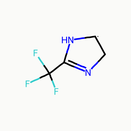 FC(F)(F)C1=NC[CH]N1